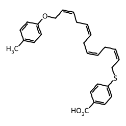 Cc1ccc(OC/C=C\C/C=C\C/C=C\C/C=C\CSc2ccc(C(=O)O)cc2)cc1